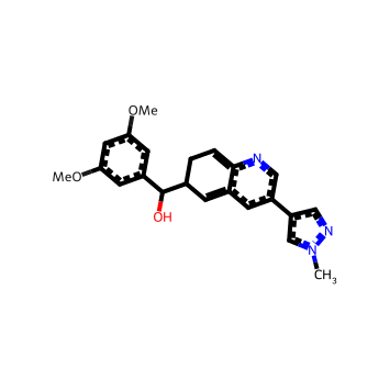 COc1cc(OC)cc(C(O)C2C=c3cc(-c4cnn(C)c4)cnc3=CC2)c1